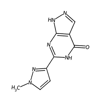 Cn1ccc(-c2nc3[nH]ncc3c(=O)[nH]2)n1